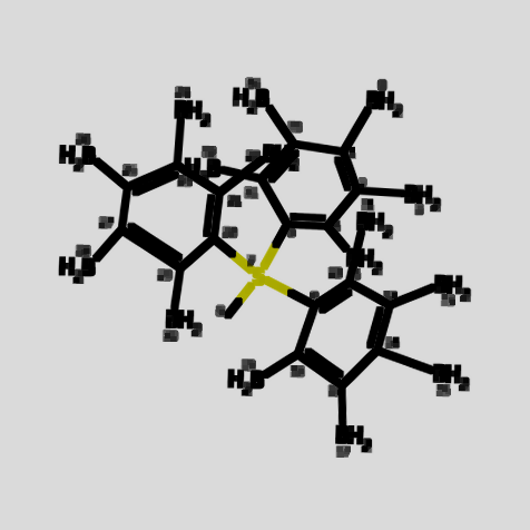 Bc1c(B)c(B)c(S(C)(c2c(B)c(B)c(B)c(B)c2B)c2c(B)c(B)c(B)c(B)c2B)c(B)c1B